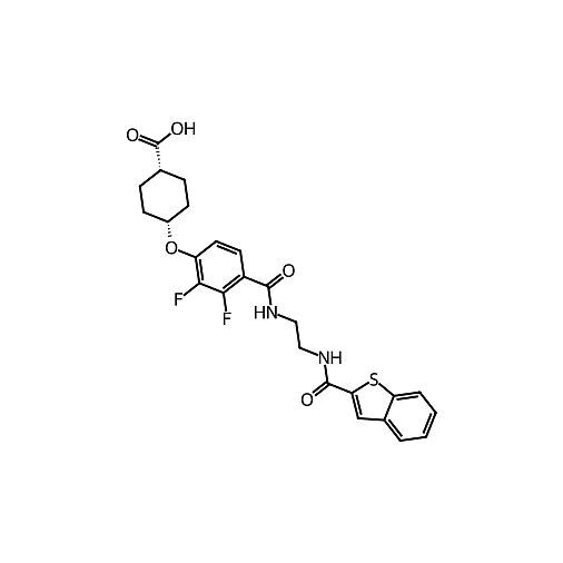 O=C(NCCNC(=O)c1ccc(O[C@H]2CC[C@@H](C(=O)O)CC2)c(F)c1F)c1cc2ccccc2s1